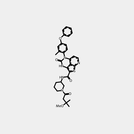 COC(C)(C)CC(=O)N1CCCC(NC(=O)c2sc3nccc4c3c2NC(=O)N4c2ccc(Oc3ccccc3)cc2C)C1